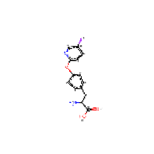 NC(Cc1ccc(Oc2ccc(I)cn2)cc1)C(=O)O